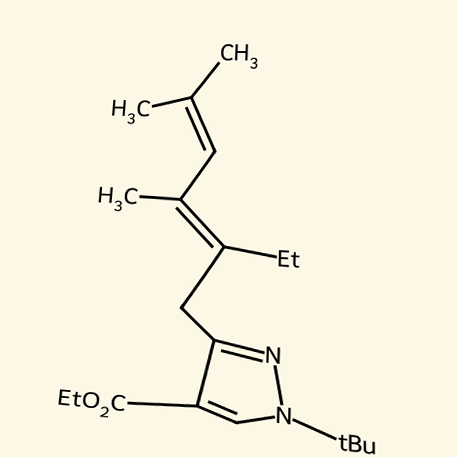 CCOC(=O)c1cn(C(C)(C)C)nc1C/C(CC)=C(\C)C=C(C)C